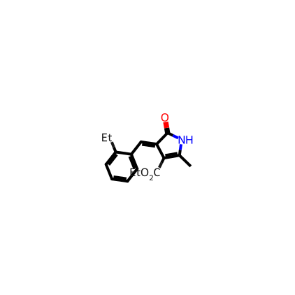 CCOC(=O)C1=C(C)NC(=O)C1=Cc1ccccc1CC